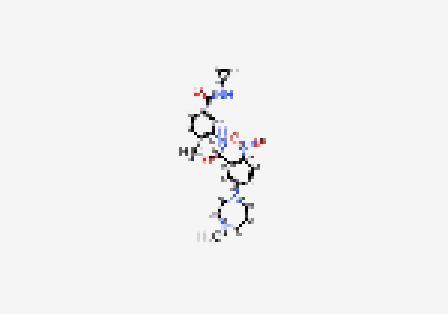 Cc1ccc(C(=O)NC2CC2)cc1NC(=O)c1cc(N2CCCN(C)CC2)ccc1[N+](=O)[O-]